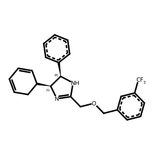 FC(F)(F)c1cccc(COCC2=N[C@@H](C3C=CC=CC3)[C@@H](c3ccccc3)N2)c1